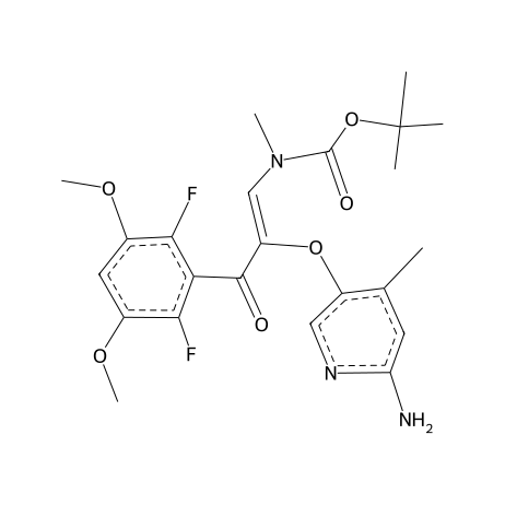 COc1cc(OC)c(F)c(C(=O)/C(=C/N(C)C(=O)OC(C)(C)C)Oc2cnc(N)cc2C)c1F